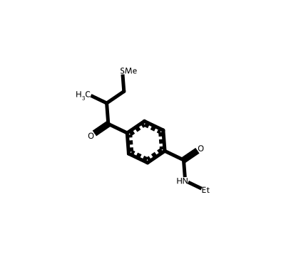 CCNC(=O)c1ccc(C(=O)C(C)CSC)cc1